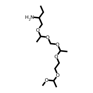 CCC(N)COC(C)OCOC(C)OCCOC(C)OC